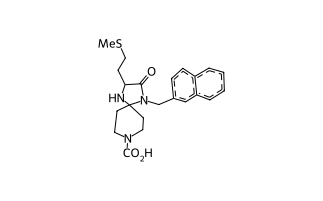 CSCCC1NC2(CCN(C(=O)O)CC2)N(Cc2ccc3ccccc3c2)C1=O